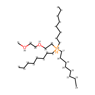 CCCCCCCC[PH](CCCCCCCC)(CCCCCCCC)CCOCCOC